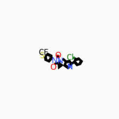 O=C1N(c2ccc(SC(F)(F)F)cc2)C(=O)C2(CC2)N1Cc1ccnc(-c2ccccc2Cl)c1